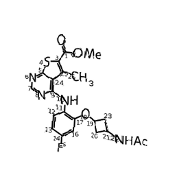 COC(=O)c1sc2ncnc(Nc3ccc(F)cc3OC3CC(NC(C)=O)C3)c2c1C